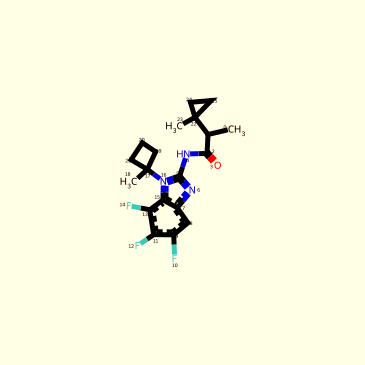 CC(C(=O)Nc1nc2cc(F)c(F)c(F)c2n1C1(C)CCC1)C1(C)CC1